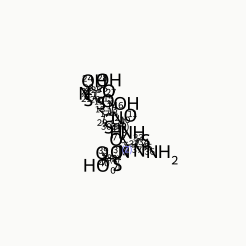 CS[C@@H](O/N=C(\C(=O)N[C@@H]1C(=O)N2C(C(=O)O)=C(CSc3snc(O)c3C(=O)O)CS[C@@H]12)c1csc(N)n1)C(=O)O